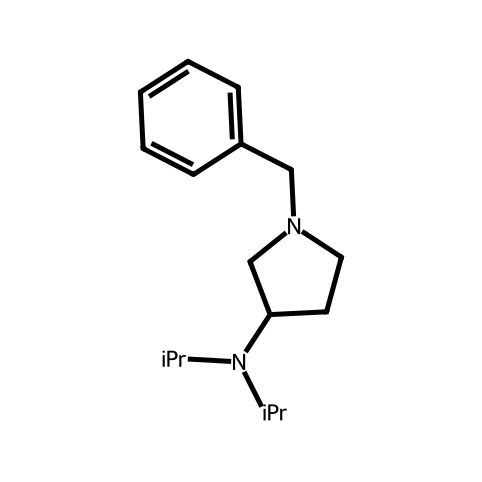 CC(C)N(C(C)C)C1CCN(Cc2ccccc2)C1